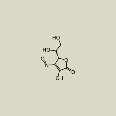 O=NC1=C(O)C(=O)O[C@@H]1C(O)CO